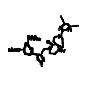 COc1cc(OC)cc(-c2cn(C)nc2CN2CCNC3(CCN(c4nc(C)cc(C)n4)CC3)C2=O)c1